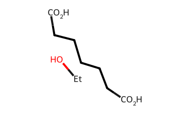 CCO.O=C(O)CCCCCC(=O)O